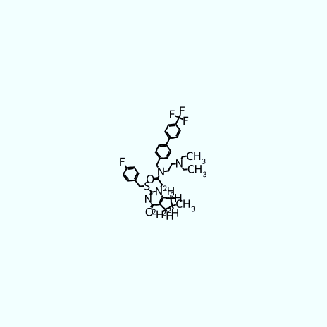 [2H]C1([2H])c2c(n(CC(=O)N(CCN(CC)CC)Cc3ccc(-c4ccc(C(F)(F)F)cc4)cc3)c(SCc3ccc(F)cc3)nc2=O)C([2H])([2H])C1([2H])C